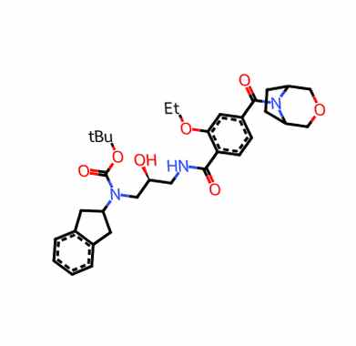 CCOc1cc(C(=O)N2C3CCC2COC3)ccc1C(=O)NC[C@H](O)CN(C(=O)OC(C)(C)C)C1Cc2ccccc2C1